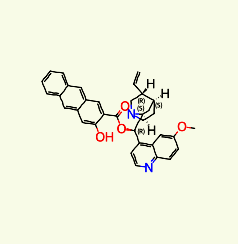 C=C[C@H]1CN2CC[C@H]1C[C@H]2[C@H](OC(=O)c1cc2cc3ccccc3cc2cc1O)c1ccnc2ccc(OC)cc12